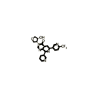 O=c1c2cc(-c3ccc(C(F)(F)F)nc3)nc(-c3cccnc3)c2ncn1[C@@H]1COC[C@@H]1O